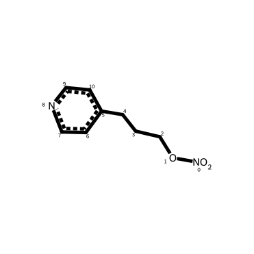 O=[N+]([O-])OCCCc1ccncc1